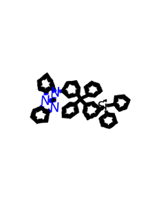 C[Si](c1ccccc1)(c1ccccc1)c1cccc(C(c2ccccc2)(c2ccccc2)c2cccc(-n3c4ccccc4n4c5ccccc5nc34)c2)c1